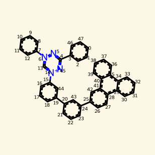 c1ccc(-c2n[n+](-c3ccccc3)c[n+](-c3cccc(-c4cccc(-c5ccc6c7ccccc7c7ccccc7c6c5)c4)c3)n2)cc1